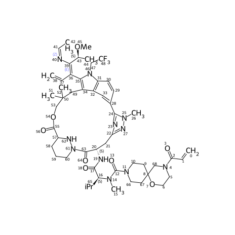 C=CC(=O)N1CCOC2(CCN(C(=O)N(C)[C@H](C(=O)N[C@H]3Cc4nc(n(C)n4)-c4ccc5c(c4)c(c(/C(C=C)=C(/N=C\C)[C@H](C)OC)n5CC(F)(F)F)CC(C)(C)COC(=O)C4CCCN(N4)C3=O)C(C)C)CC2)C1